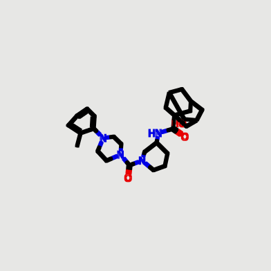 Cc1ccccc1N1CCN(C(=O)N2CCCC(NC(=O)C34CC5CC(C3)C(O)C(C5)C4)C2)CC1